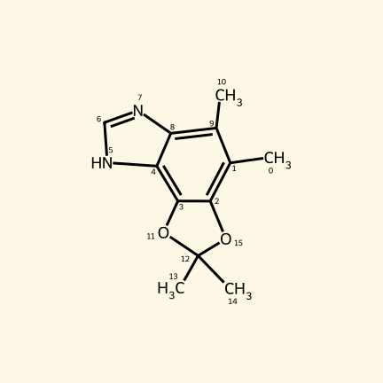 Cc1c2c(c3[nH]cnc3c1C)OC(C)(C)O2